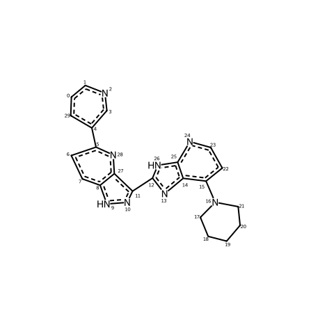 c1cncc(-c2ccc3[nH]nc(-c4nc5c(N6CCCCC6)ccnc5[nH]4)c3n2)c1